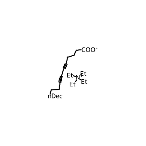 CCCCCCCCCCCCC#CC#CCCCC(=O)[O-].CC[N+](CC)(CC)CC